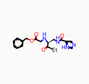 CCC(=O)[C@H](CNC(=O)c1cnc[nH]1)NCC(=O)OCc1ccccc1